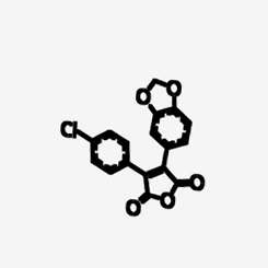 O=C1OC(=O)C(c2ccc3c(c2)OCO3)=C1c1ccc(Cl)cc1